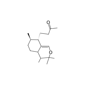 CC(=O)CC[C@@H]1C2=COC(C)(C)C(C)C2CC[C@H]1C